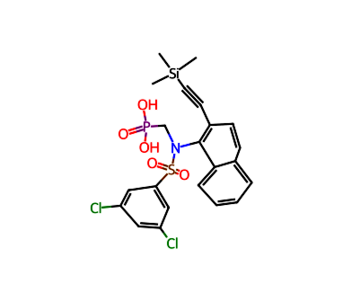 C[Si](C)(C)C#Cc1ccc2ccccc2c1N(CP(=O)(O)O)S(=O)(=O)c1cc(Cl)cc(Cl)c1